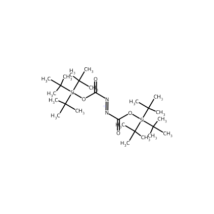 CC(C)(C)[Si](OC(=O)/N=N/C(=O)O[Si](C(C)(C)C)(C(C)(C)C)C(C)(C)C)(C(C)(C)C)C(C)(C)C